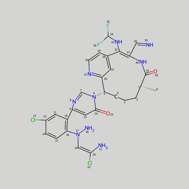 C[C@@H]1CCC[C@H](n2cnc(-c3cc(Cl)ccc3N(N)/C=C(\N)Cl)cc2=O)c2cc(ccn2)/C(NC(F)F)=C(/C=N)NC1=O